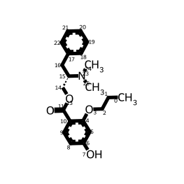 CCCOc1cc(O)ccc1C(=O)OC[C@H](Cc1ccccc1)N(C)C